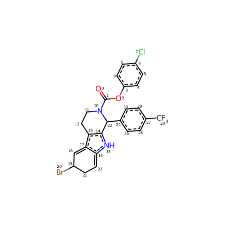 O=C(Oc1ccc(Cl)cc1)N1CCc2c([nH]c3c2=CC(Br)CC=3)C1c1ccc(C(F)(F)F)cc1